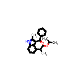 Cc1[nH]c2cccc(C(C)COC(C)C)c2c1C(=O)c1ccccc1